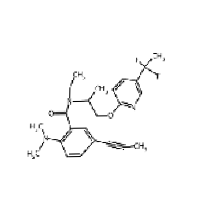 CC#Cc1ccc(N(C)C)c(C(=O)N(CC)C(C)COc2ccc(C(C)(F)F)cn2)c1